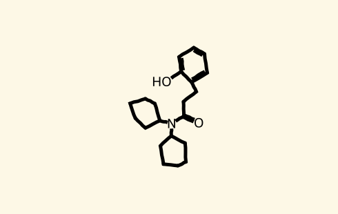 O=C(CCc1ccccc1O)N(C1CCCCC1)C1CCCCC1